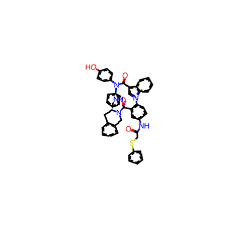 NC[C@@H]1Cc2ccccc2CN1C(=O)c1cc(NC(=O)CSc2ccccc2)ccc1-n1cc(C(=O)N(c2ccccc2)c2ccc(O)cc2)c2ccccc21